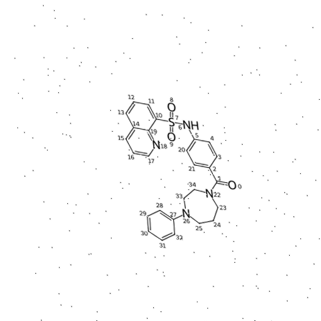 O=C(c1ccc(NS(=O)(=O)c2cccc3cccnc23)cc1)N1CCCN(c2ccccc2)CC1